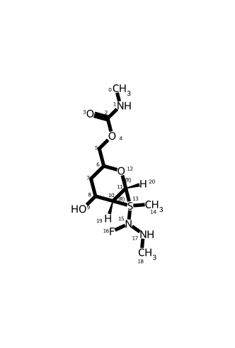 CNC(=O)OCC1CC(O)[C@@H]2[C@H](O1)S2(C)N(F)NC